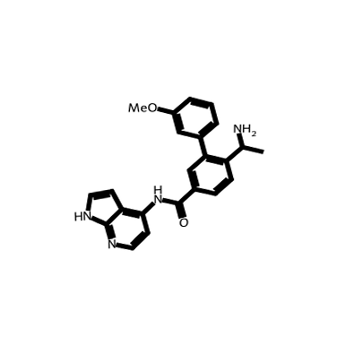 COc1cccc(-c2cc(C(=O)Nc3ccnc4[nH]ccc34)ccc2C(C)N)c1